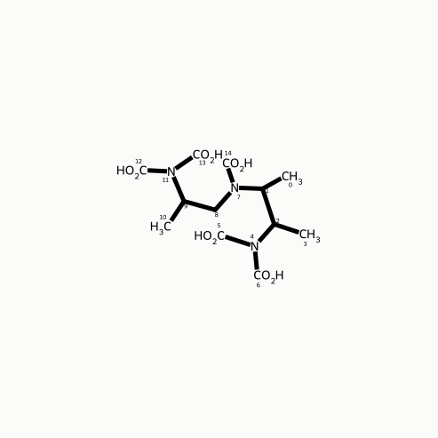 CC(C(C)N(C(=O)O)C(=O)O)N(CC(C)N(C(=O)O)C(=O)O)C(=O)O